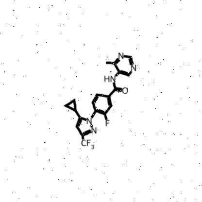 Cc1ncncc1NC(=O)c1ccc(-n2nc(C(F)(F)F)cc2C2CC2)c(F)c1